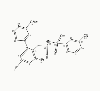 COc1cc(-c2cc(F)cc(C(C)C)c2CC(=O)NS(=O)(=O)c2cccc(C#N)c2)ccn1